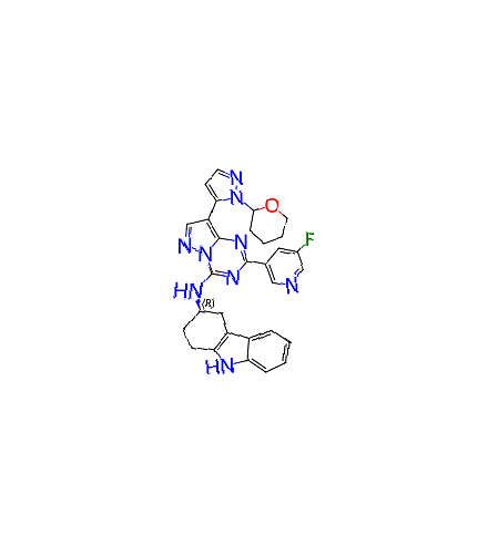 Fc1cncc(-c2nc(N[C@@H]3CCc4[nH]c5ccccc5c4C3)n3ncc(-c4ccnn4C4CCCCO4)c3n2)c1